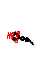 C=C(CO)C(=O)OCC(COC(=O)C(=C)CO)c1ccc(-c2ccc(CCCCC)cc2)cc1